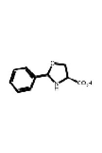 O=C(O)[C@@H]1COC(c2ccccc2)N1